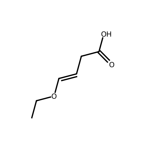 CCOC=CCC(=O)O